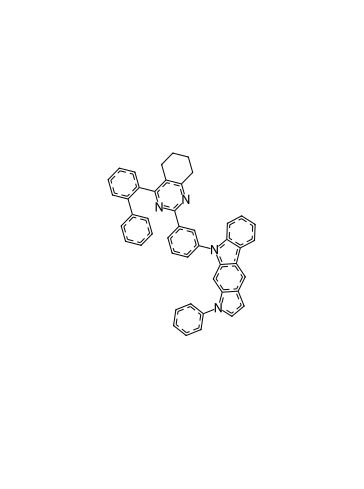 c1ccc(-c2ccccc2-c2nc(-c3cccc(-n4c5ccccc5c5cc6ccn(-c7ccccc7)c6cc54)c3)nc3c2CCCC3)cc1